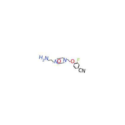 N#Cc1ccc(OCCN2CC3CN(CCCN)CC(C2)O3)c(F)c1